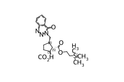 C[Si](C)(C)CCOC(=O)[C@H]1[C@H](Cn2nnc3ccccc3c2=O)CC[C@@H]1C(=O)O